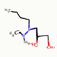 CCCCN(CC(O)CO)N(C)C